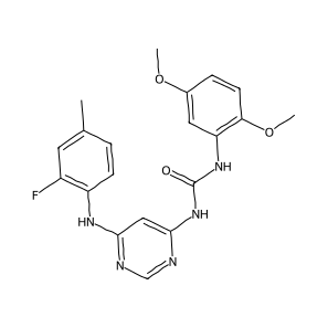 COc1ccc(OC)c(NC(=O)Nc2cc(Nc3ccc(C)cc3F)ncn2)c1